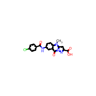 Cn1c2ccc(NC(=O)c3ccc(Cl)cc3)cc2c(=O)n2nc(C(=O)O)cc12